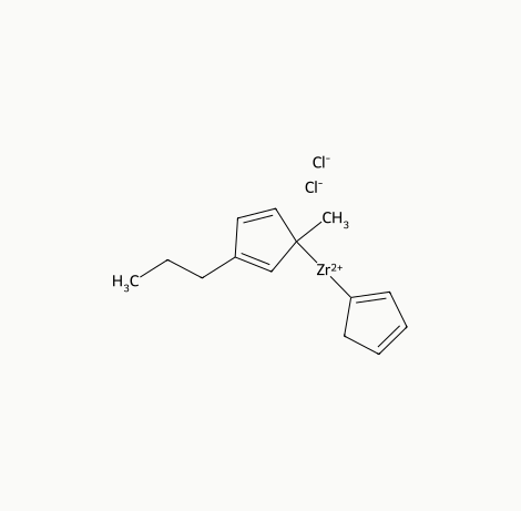 CCCC1=C[C](C)([Zr+2][C]2=CC=CC2)C=C1.[Cl-].[Cl-]